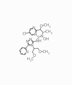 COCC(COC)n1c(NSN(O)[C@H](C)C(OC)c2ncc(Cl)cn2)nnc1-c1ccccn1